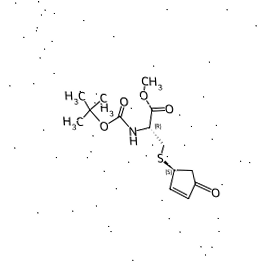 COC(=O)[C@H](CS[C@@H]1C=CC(=O)C1)NC(=O)OC(C)(C)C